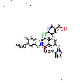 CNc1nccn1Cc1cc(-c2cc(CO)cnc2Cl)c2ccn(Cc3ccc(F)c(OC)c3)c(=O)c2c1